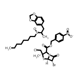 CCCCCCCC[S+]([O-])C(C)Cc1ccc2c(c1)OCO2.C[C@@]1(CCl)S[C@@H]2[C@@H](Br)C(=O)N2C1C(=O)OCc1ccc([N+](=O)[O-])cc1